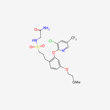 COCCOc1ccc(CCCS(=O)(=O)NCC(N)=O)c(Oc2ncc(C(F)(F)F)cc2Cl)c1